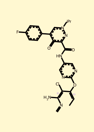 C=N/C(N)=C(Cl)\C(=C/C)Oc1ncc(NC(=O)c2nn(C(C)C)cc(-c3ccc(F)cc3)c2=O)cn1